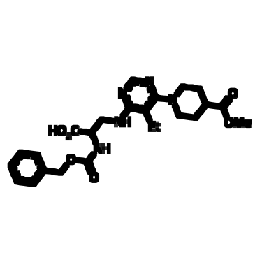 CCc1c(NCC(NC(=O)OCc2ccccc2)C(=O)O)ncnc1N1CCC(C(=O)OC)CC1